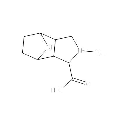 CC(=O)C1C2C3CCC(N3)C2CN1C